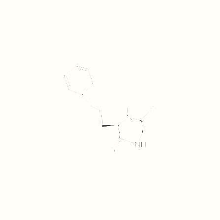 O=C1CNC(=O)[C@@H](COCc2ccccc2)N1